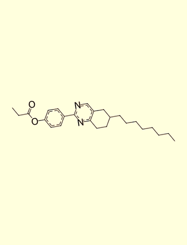 CCCCCCCCC1CCc2nc(-c3ccc(OC(=O)CC)cc3)ncc2C1